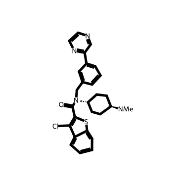 CN[C@H]1CC[C@H](N(Cc2cccc(-c3cnccn3)c2)C(=O)c2sc3ccccc3c2Cl)CC1